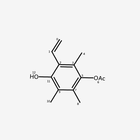 C=Cc1c(C)c(OC(C)=O)c(C)c(C)c1O